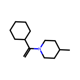 C=C(C1CCCCC1)N1CCC(C)CC1